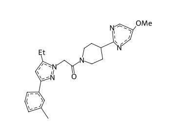 CCc1cc(-c2cccc(C)c2)nn1CC(=O)N1CCC(c2ncc(OC)cn2)CC1